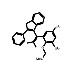 COCOc1c(C(=C(C)C)C2=C(c3ccccc3)Cc3ccccc32)cc(C(C)(C)C)cc1C(C)(C)C